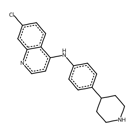 Clc1ccc2c(Nc3ccc(C4CCNCC4)cc3)ccnc2c1